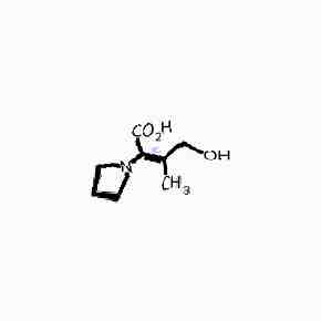 C/C(CO)=C(/C(=O)O)N1CCC1